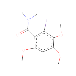 COc1cc(OC)c(C(=O)N(C)C)c(I)c1OC